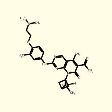 CC(=O)c1c(C)c2cnc(Nc3ccc(OCCN(C)C)c(C)c3)nc2n(C23CC(C2)[C@H]3C)c1=O